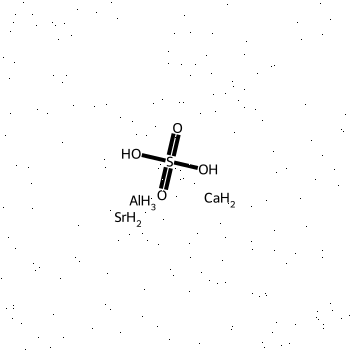 O=S(=O)(O)O.[AlH3].[CaH2].[SrH2]